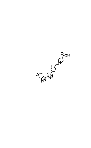 Cc1cc(-c2nnc(-c3nn(C)c4c3CCC(C)(C)C4)s2)cc(C)c1CCN1CCC(C(=O)O)CC1